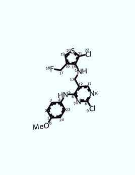 COc1ccc(Nc2nc(Cl)ncc2CNc2c(CF)csc2Cl)cc1